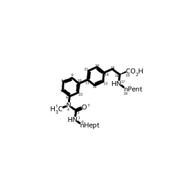 CCCCCCCNC(=O)N(C)c1cccc(-c2ccc(C[C@H](NCCCCC)C(=O)O)cc2)c1